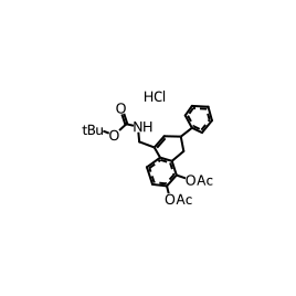 CC(=O)Oc1ccc2c(c1OC(C)=O)CC(c1ccccc1)C=C2CNC(=O)OC(C)(C)C.Cl